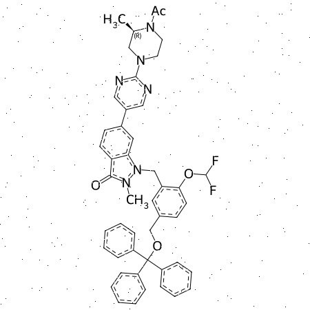 CC(=O)N1CCN(c2ncc(-c3ccc4c(=O)n(C)n(Cc5cc(COC(c6ccccc6)(c6ccccc6)c6ccccc6)ccc5OC(F)F)c4c3)cn2)C[C@H]1C